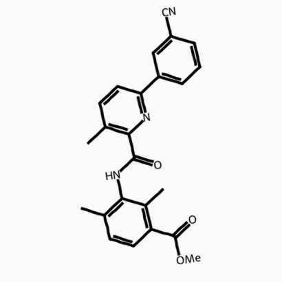 COC(=O)c1ccc(C)c(NC(=O)c2nc(-c3cccc(C#N)c3)ccc2C)c1C